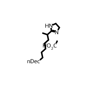 CC(=O)O.CCCCCCCCCCCCCCCC(C)C1=NCCN1